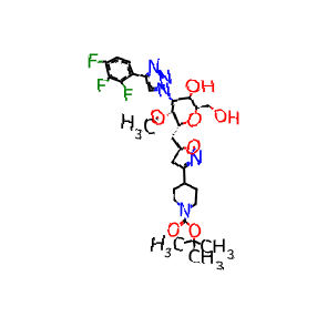 CO[C@@H]1[C@@H](n2cc(-c3ccc(F)c(F)c3F)nn2)[C@@H](O)[C@@H](CO)O[C@@H]1CC1CC(C2CCN(C(=O)OC(C)(C)C)CC2)=NO1